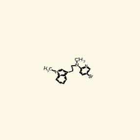 CN(CCc1cn(C)c2ccccc12)c1ccc(Br)cn1